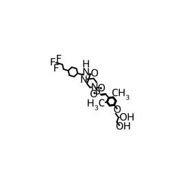 Cc1cc(OC[C@H](O)CO)cc(C)c1/C=C/S(=O)(=O)N1CCC2(CC1)N=C(C1CCC(CCC(F)(F)F)CC1)NC2=O